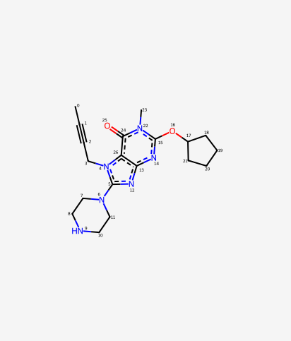 CC#CCn1c(N2CCNCC2)nc2nc(OC3CCCC3)n(C)c(=O)c21